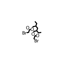 CCC(COC(=O)CBr)CC(CC)COC(=O)CBr